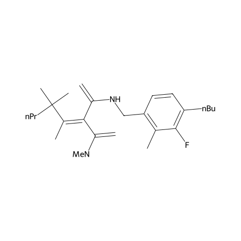 C=C(NC)/C(C(=C)NCc1ccc(CCCC)c(F)c1C)=C(\C)C(C)(C)CCC